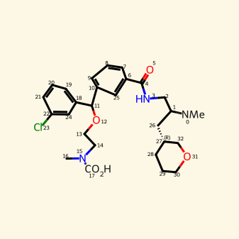 CNC(CNC(=O)c1cccc(C(OCCN(C)C(=O)O)c2cccc(Cl)c2)c1)C[C@H]1CCCOC1